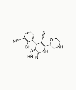 Bc1c(C#N)cccc1C1C(C#N)=C(C2CNCCO2)Nc2n[nH]cc21